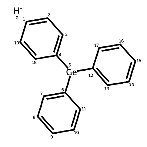 [H-].c1cc[c]([Ge]([c]2ccccc2)[c]2ccccc2)cc1